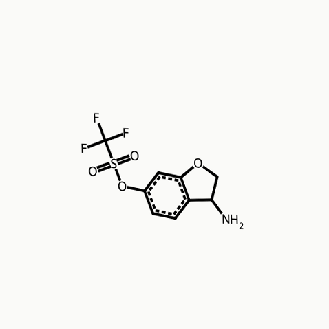 NC1COc2cc(OS(=O)(=O)C(F)(F)F)ccc21